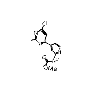 COC(=O)Nc1cc(-c2cc(Cl)nc(C)n2)ccn1